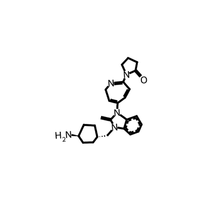 C=C1N(C[C@H]2CC[C@H](N)CC2)c2ccccc2N1C1=CCN=C(N2CCCC2=O)C=C1